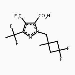 CC1(Cn2nc(C(C)(F)F)c(C(F)(F)F)c2C(=O)O)CC(F)(F)C1